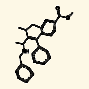 COC(=O)c1ccc2c(c1)CC(C)C(C(C)NCc1ccccc1)=C2c1ccccc1